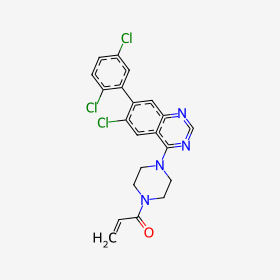 C=CC(=O)N1CCN(c2ncnc3cc(-c4cc(Cl)ccc4Cl)c(Cl)cc23)CC1